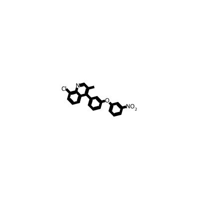 Cc1cnc2c(Cl)cccc2c1-c1cccc(Oc2cccc([N+](=O)[O-])c2)c1